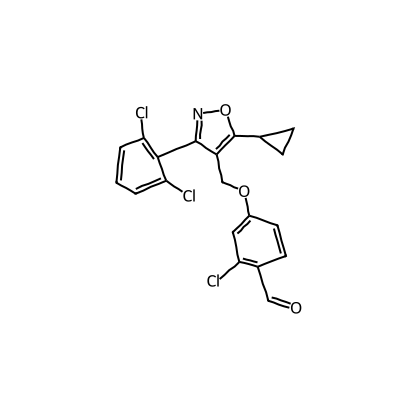 O=Cc1ccc(OCc2c(-c3c(Cl)cccc3Cl)noc2C2CC2)cc1Cl